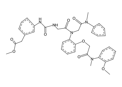 COC(=O)Cc1cccc(NC(=O)NCC(=O)N(CC(=O)N(C)c2ccccc2)c2ccccc2OCC(=O)N(C)c2ccccc2OC)c1